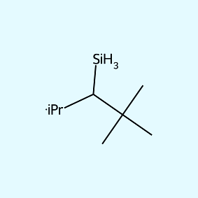 C[C](C)C([SiH3])C(C)(C)C